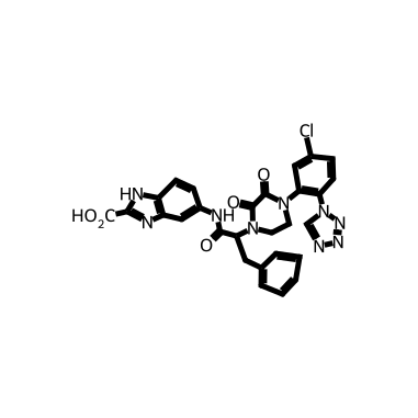 O=C(O)c1nc2cc(NC(=O)C(Cc3ccccc3)N3CCN(c4cc(Cl)ccc4-n4cnnn4)C(=O)C3=O)ccc2[nH]1